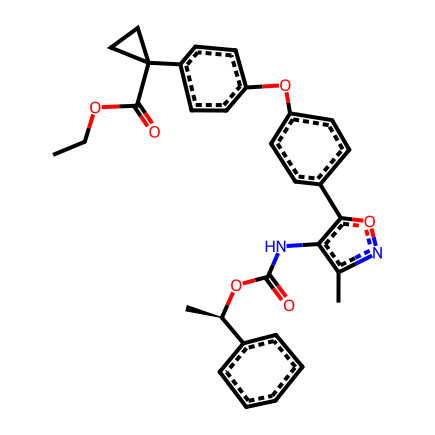 CCOC(=O)C1(c2ccc(Oc3ccc(-c4onc(C)c4NC(=O)O[C@H](C)c4ccccc4)cc3)cc2)CC1